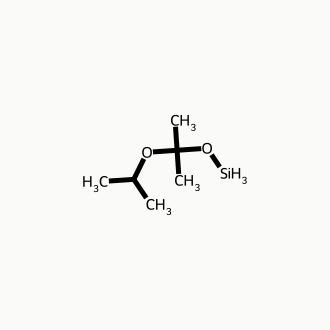 CC(C)OC(C)(C)O[SiH3]